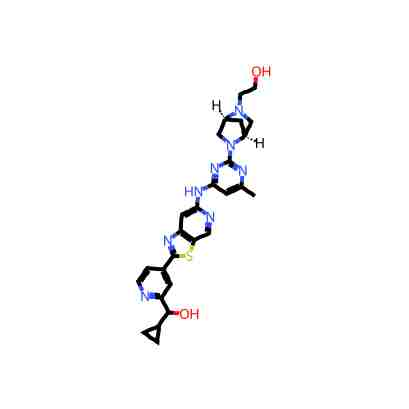 Cc1cc(Nc2cc3nc(-c4ccnc(C(O)C5CC5)c4)sc3cn2)nc(N2C[C@@H]3C[C@H]2CN3CCO)n1